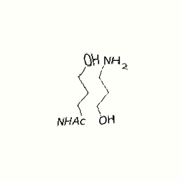 CC(=O)NCCCO.NCCCO